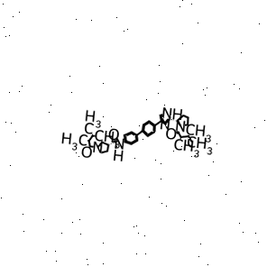 CC(C)[C@H](C)C(=O)N1CC[C@@H](C(=O)Nc2ccc(-c3ccc(-c4c[nH]c([C@@H]5CCCN5C(=O)[C@@H](C)C(C)C)n4)cc3)cc2)C1